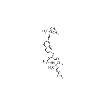 CO/N=C/C(C)(C)NC(=O)C(Oc1ccc2ncc(C#C[Si](C)(C)C)cc2c1)SC